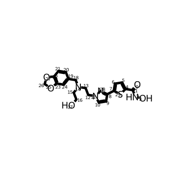 O=C(NO)c1ccc(-c2ccn(CCN(CCO)Cc3ccc4c(c3)OCO4)n2)s1